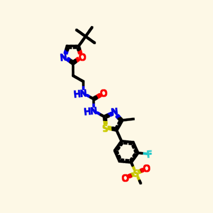 Cc1nc(NC(=O)NCCc2ncc(C(C)(C)C)o2)sc1-c1ccc(S(C)(=O)=O)c(F)c1